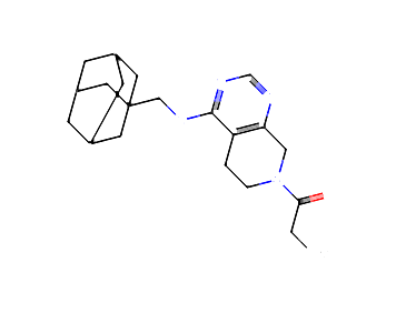 COCC(=O)N1CCc2c(ncnc2NCC23CC4CC(CC(C4)C2)C3)C1